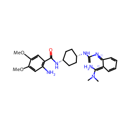 C=C(/N=C1/C=CC=C/C1=C(/N)N(C)C)N[C@H]1CC[C@@H](NC(=O)c2cc(OC)c(OC)cc2N)CC1